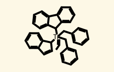 C[CH]=[Ti]([CH2]c1ccccc1)([CH2]c1ccccc1)([CH]1C=Cc2ccccc21)[CH]1c2ccccc2-c2ccccc21